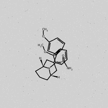 COc1cccc([C@]2(C(N)=O)C[C@H]3CCC[C@@H](C2)N3c2ccccc2OC)c1